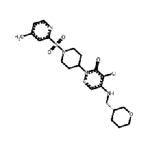 Cc1ccnc(S(=O)(=O)N2CCC(n3ncc(NC[C@H]4CCCOC4)c(Cl)c3=O)CC2)c1